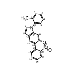 Cc1ccccc1-n1ccc2cc(-c3ccccc3[N+](=O)[O-])ccc21